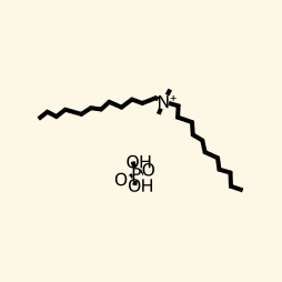 CCCCCCCCCCCC[N+](C)(C)CCCCCCCCCCC.O=P([O-])(O)O